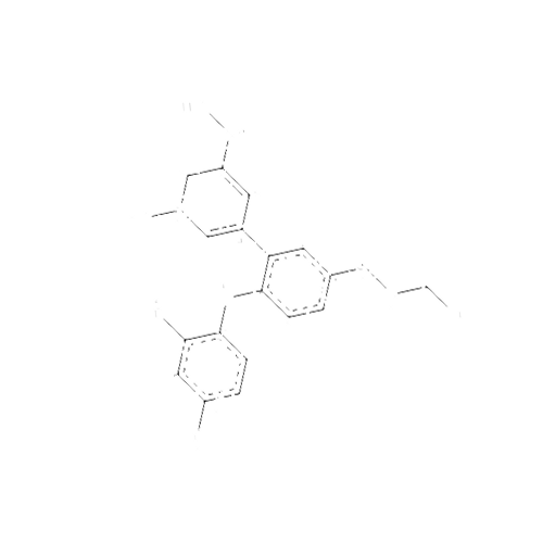 CCSNc1ccc(Oc2ccc(F)cc2F)c(C2=CN(C)CC(SC)=C2)c1